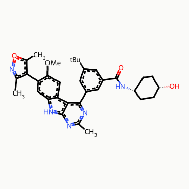 COc1cc2c(cc1-c1c(C)noc1C)[nH]c1nc(C)nc(-c3cc(C(=O)N[C@H]4CC[C@@H](O)CC4)cc(C(C)(C)C)c3)c12